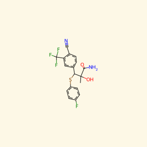 CC(O)(C(N)=O)C(Sc1ccc(F)cc1)c1ccc(C#N)c(C(F)(F)F)c1